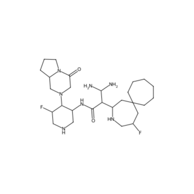 NC(N)C(C(=O)NC1CNCC(F)C1N1CC(=O)N2CCCC2C1)C1CC2(CCCCCC2)CC(F)CN1